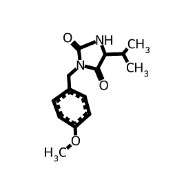 COc1ccc(CN2C(=O)NC(C(C)C)C2=O)cc1